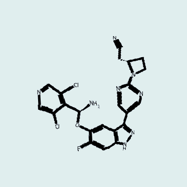 N#CC[C@@H]1CCN1c1ncc(-c2n[nH]c3cc(F)c(O[C@H](N)c4c(Cl)cncc4Cl)cc23)cn1